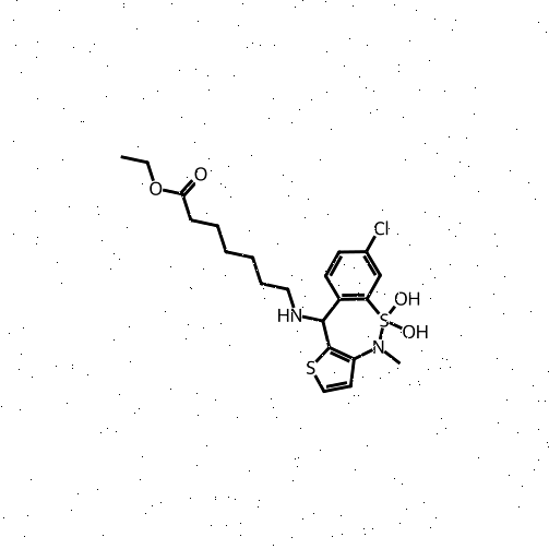 CCOC(=O)CCCCCCNC1c2ccc(Cl)cc2S(O)(O)N(C)c2ccsc21